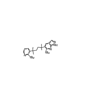 CC(C)(C)c1ncccc1C(C)(C)CCC(C)(C)c1cc2cn[nH]c2nc1C(C)(C)C